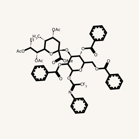 CC[C@@H](OC(C)=O)[C@@H](OC(C)=O)C1O[C@@](O[C@@H]2C(OC(=O)c3ccccc3)C(O/C(=N/c3ccccc3)C(F)(F)F)OC(COC(=O)c3ccccc3)[C@H]2OC(=O)c2ccccc2)(C(=O)OC)C[C@@H](OC(C)=O)[C@H]1C